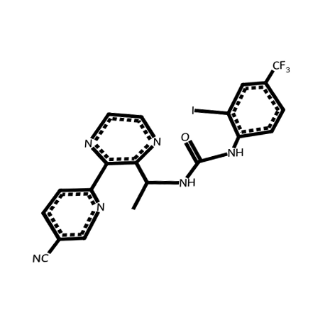 CC(NC(=O)Nc1ccc(C(F)(F)F)cc1I)c1nccnc1-c1ccc(C#N)cn1